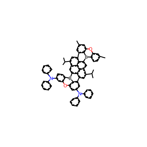 Cc1ccc2c(c1)Oc1cc(C)cc3c1B2c1cc2c(C(C)C)cc4c5c(cc6c(C(C)C)cc-3c1c6c25)B1c2ccc(N(c3ccccc3)c3ccccc3)cc2Oc2cc(N(c3ccccc3)c3ccccc3)cc-4c21